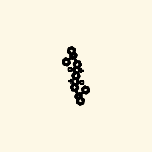 Cn1c2ccc(-c3cc4ccccc4n3-c3ccccc3)cc2c(=O)c2cc3c(cc21)c(=O)c1cc(-c2cc4ccccc4n2-c2ccccc2)ccc1n3C